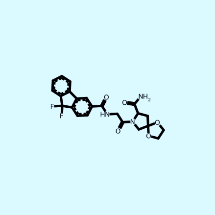 NC(=O)C1CC2(CN1C(=O)CNC(=O)c1ccc3c(c1)-c1ccccc1C3(F)F)OCCO2